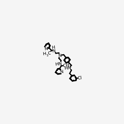 CC(NCCN(CCNC(C)c1ccccn1)Cc1ccc(CNCCc2cccc(Cl)c2)cc1)c1ccccn1